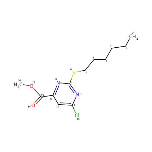 CCCCCCSc1nc(Cl)cc(C(=O)OC)n1